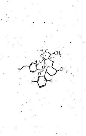 CC1CCC(c2cc(F)ccc2F)(S(=O)(=O)c2ccc(CF)cc2)CC1C[C@H](C(C)C)S(N)(=O)=O